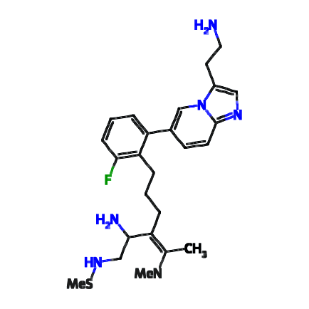 CN/C(C)=C(/CCCc1c(F)cccc1-c1ccc2ncc(CCN)n2c1)C(N)CNSC